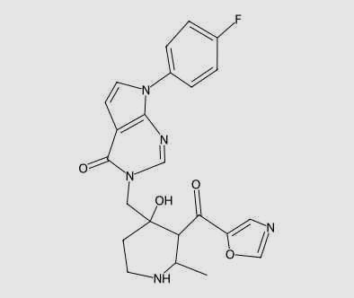 CC1NCCC(O)(Cn2cnc3c(ccn3-c3ccc(F)cc3)c2=O)C1C(=O)c1cnco1